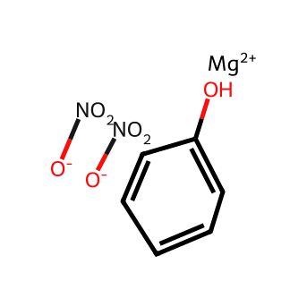 O=[N+]([O-])[O-].O=[N+]([O-])[O-].Oc1ccccc1.[Mg+2]